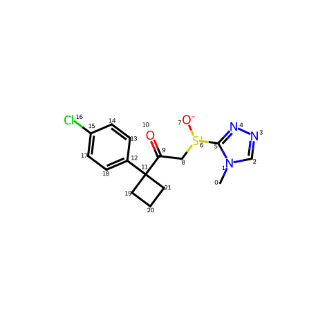 Cn1cnnc1[S+]([O-])CC(=O)C1(c2ccc(Cl)cc2)CCC1